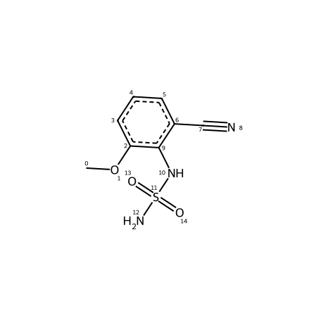 COc1cccc(C#N)c1NS(N)(=O)=O